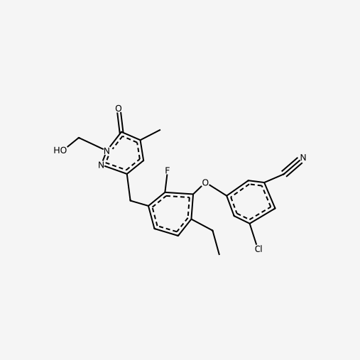 CCc1ccc(Cc2cc(C)c(=O)n(CO)n2)c(F)c1Oc1cc(Cl)cc(C#N)c1